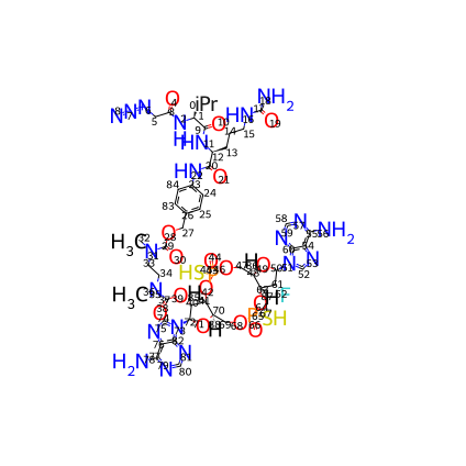 CC(C)[C@H](NC(=O)CN=[N+]=[N-])C(=O)N[C@@H](CCCNC(N)=O)C(=O)Nc1ccc(COC(=O)N(C)CCN(C)C(=O)O[C@@H]2[C@@H]3OP(=O)(S)OC[C@H]4O[C@@H](n5cnc6c(N)ncnc65)[C@H](F)[C@@H]4OP(=O)(S)OC[C@H]3O[C@H]2n2cnc3c(N)ncnc32)cc1